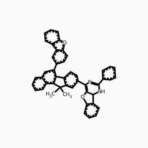 CC1(C)c2cc(C3=C4Oc5ccccc5C4NC(c4ccccc4)=N3)ccc2-c2c(-c3ccc4oc5ccccc5c4c3)cc3ccccc3c21